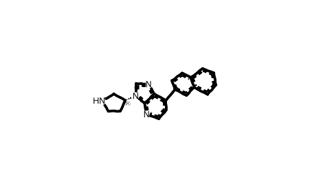 c1ccc2cc(-c3ccnc4c3ncn4[C@@H]3CCNC3)ccc2c1